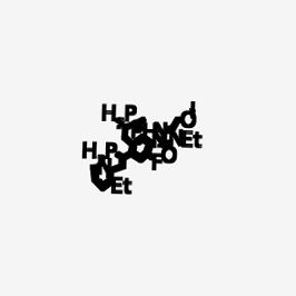 CCc1cccnc1/C=C(\P)c1cc(F)c(-n2nc(COI)n(CC)c2=O)cc1C[C@@H](C)C(C)(P)P